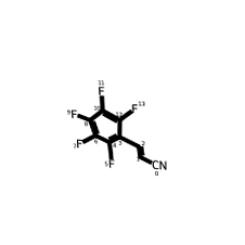 N#CC=Cc1c(F)c(F)c(F)c(F)c1F